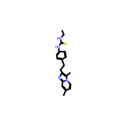 CCNC(=S)Nc1ccc(CCc2nc3cc(C)ccn3c2C)cc1